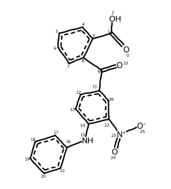 O=C(O)c1ccccc1C(=O)c1ccc(Nc2ccccc2)c([N+](=O)[O-])c1